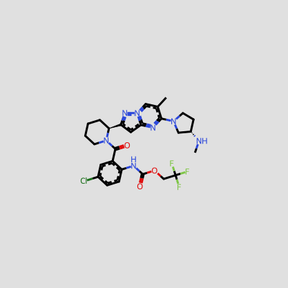 CN[C@H]1CCN(c2nc3cc([C@@H]4CCCCN4C(=O)c4cc(Cl)ccc4NC(=O)OCC(F)(F)F)nn3cc2C)C1